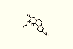 CCCCN1N=C2c3ccc([NH])cc3CCC2CC1=O